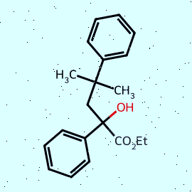 CCOC(=O)C(O)(CC(C)(C)c1ccccc1)c1ccccc1